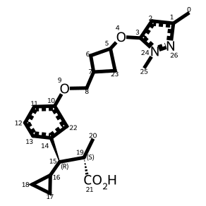 Cc1cc(OC2CC(COc3cccc([C@H](C4CC4)[C@H](C)C(=O)O)c3)C2)n(C)n1